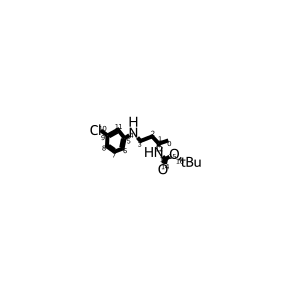 CC(CCNc1cccc(Cl)c1)NC(=O)OC(C)(C)C